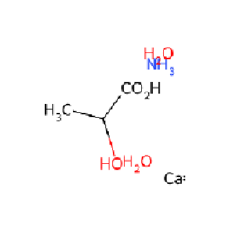 CC(O)C(=O)O.N.O.O.[Ca]